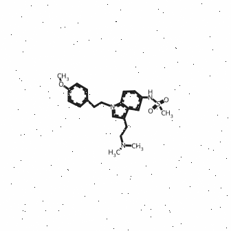 COc1ccc(CCn2cc(CCN(C)C)c3cc(NS(C)(=O)=O)ccc32)cc1